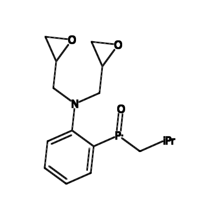 CC(C)C[P](=O)c1ccccc1N(CC1CO1)CC1CO1